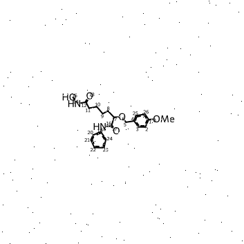 COc1ccc(COC(CCCCC(=O)NO)C(=O)Nc2ccccc2)cc1